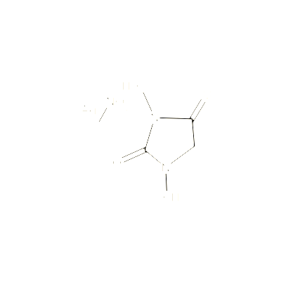 CN1CC(=O)N(C)C1=O.O=[N+]([O-])[O-].[Ag+]